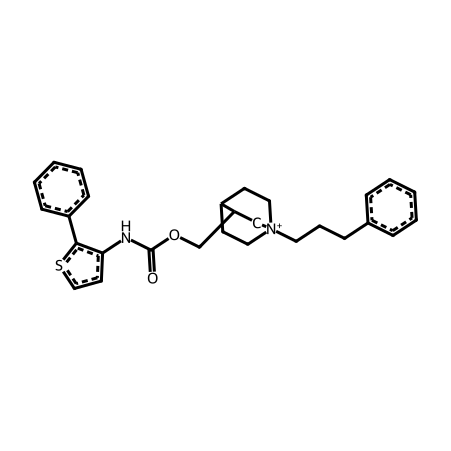 O=C(Nc1ccsc1-c1ccccc1)OCC1C[N+]2(CCCc3ccccc3)CCC1CC2